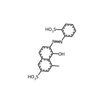 Cc1cc(S(=O)(=O)O)cc2ccc(N=Nc3ccccc3S(=O)(=O)O)c(O)c12